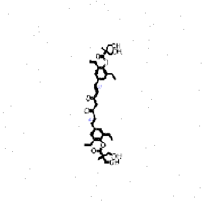 CCc1cc(/C=C/C(=O)CC(=O)/C=C/c2cc(CC)c(OC(=O)C(C)(CO)CO)c(CC)c2)cc(CC)c1OC(=O)C(C)(CO)CO